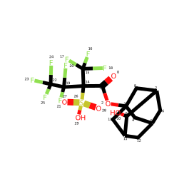 O=C(OC12CC3CC(C1)C(O)C(C3)C2)C(C(F)(F)F)(C(F)(F)C(F)(F)F)S(=O)(=O)O